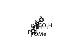 COc1c(F)c(F)cc(C(=O)Nc2csc(-c3cccc(C)c3)c2C(=O)O)c1F